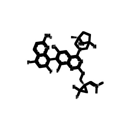 C[N+](C)=C[C@@]1(COc2nc(N3C[C@H]4CC[C@](C)(C3)N4)c3cc(Cl)c(-c4c(F)cc(F)c5ccc(N)nc45)c(F)c3n2)CC1(F)F